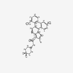 Cc1nn2c(-c3ccc(Cl)cc3)c(-c3ccccc3Cl)cnc2c1C(=O)CN1CCS(=O)(=O)CC1